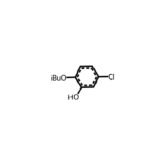 CC(C)COc1ccc(Cl)cc1O